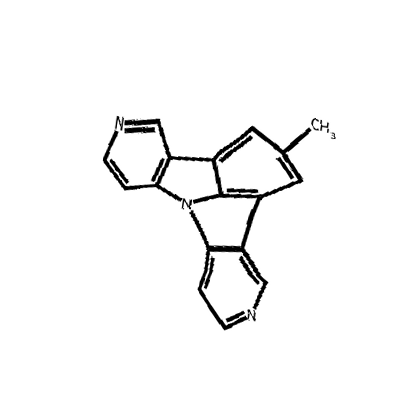 Cc1cc2c3cnccc3n3c4ccncc4c(c1)c23